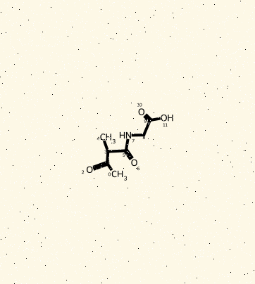 CC(=O)C(C)C(=O)NCC(=O)O